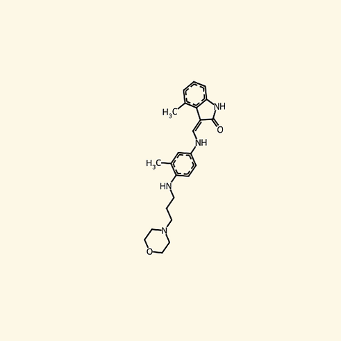 Cc1cc(NC=C2C(=O)Nc3cccc(C)c32)ccc1NCCCN1CCOCC1